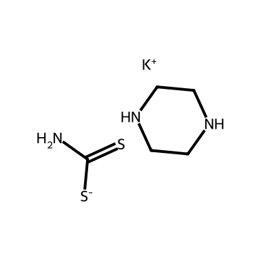 C1CNCCN1.NC(=S)[S-].[K+]